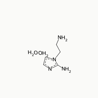 NCCn1ccnc1N.O.O